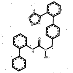 CCCCN(Cc1ccc(-c2ccccc2-c2nnn[nH]2)cc1)C(=O)Nc1ccccc1-c1ccccc1